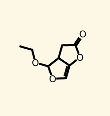 CCOC1OC=C2OC(=O)CC21